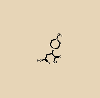 CN1CCN(C(CC(=O)O)C(=O)O)CC1